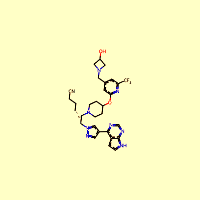 N#CCCC[C@@H](Cn1cc(-c2ncnc3[nH]ccc23)cn1)N1CCC(Oc2cc(CN3CC(O)C3)cc(C(F)(F)F)n2)CC1